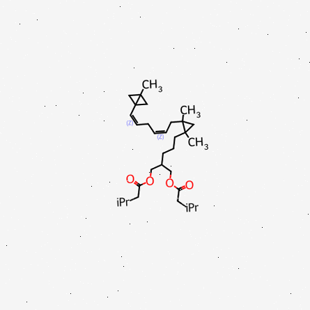 CC(C)CC(=O)OCC(CCCC1(C)CC1(C)C/C=C\C/C=C\C12CC1(C)C2)COC(=O)CC(C)C